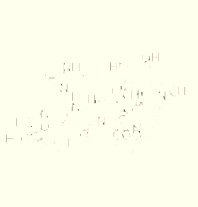 C[C@@H]1S[C@@H]2[C@H](NC(=O)/C(=N\OC(C)(C)C(=O)O)c3csc(N)n3)C(=O)N2C(C(=O)[O-])=C1C[N+]1(Cc2cn(C)c3cc(O)c(O)c(Cl)c3c2=O)CCCC1